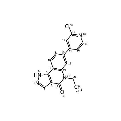 O=c1c2cn[nH]c2c2ccc(-c3ccnc(Cl)c3)cc2n1CC(F)(F)F